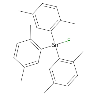 Cc1ccc(C)[c]([Sn]([F])([c]2cc(C)ccc2C)[c]2cc(C)ccc2C)c1